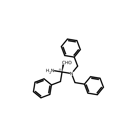 N[C@@](C=O)(Cc1ccccc1)N(Cc1ccccc1)Cc1ccccc1